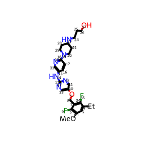 CCc1cc(OC)c(F)c(COc2cnc(Nc3ccc(N4CCC(NCCCO)CC4)nc3)nc2)c1F